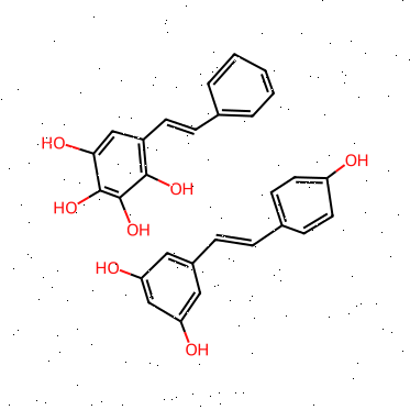 Oc1cc(C=Cc2ccccc2)c(O)c(O)c1O.Oc1ccc(C=Cc2cc(O)cc(O)c2)cc1